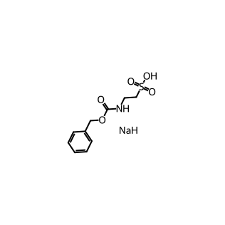 O=C(NCCS(=O)(=O)O)OCc1ccccc1.[NaH]